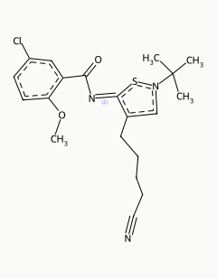 COc1ccc(Cl)cc1C(=O)/N=c1\sn(C(C)(C)C)cc1CCCCC#N